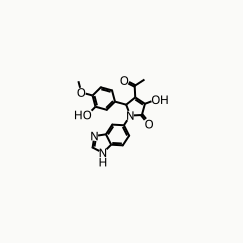 COc1ccc(C2C(C(C)=O)=C(O)C(=O)N2c2ccc3[nH]cnc3c2)cc1O